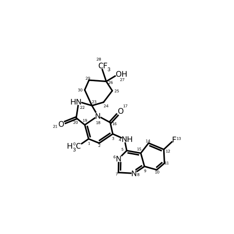 Cc1cc(Nc2ncnc3ccc(F)cc23)c(=O)n2c1C(=O)NC21CCC(O)(C(F)(F)F)CC1